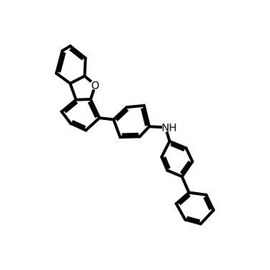 C1=CC2Oc3c(-c4ccc(Nc5ccc(-c6ccccc6)cc5)cc4)cccc3C2C=C1